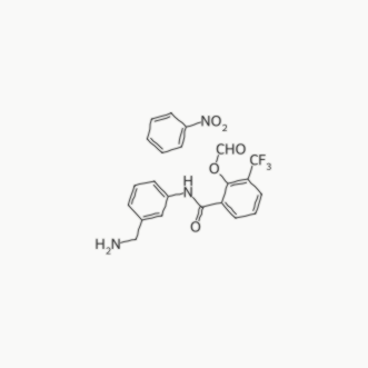 NCc1cccc(NC(=O)c2cccc(C(F)(F)F)c2OC=O)c1.O=[N+]([O-])c1ccccc1